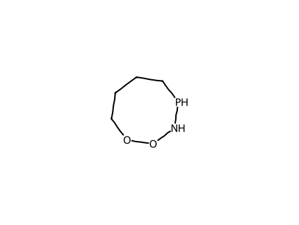 C1CCPNOOC1